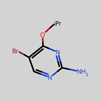 CC(C)Oc1nc(N)ncc1Br